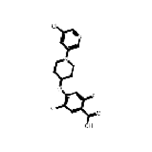 O=C(O)c1cc(Cl)c(OC2CCN(c3cncc(Cl)c3)CC2)cc1F